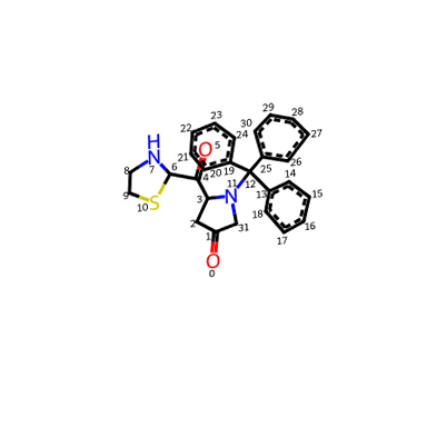 O=C1CC(C(=O)C2NCCS2)N(C(c2ccccc2)(c2ccccc2)c2ccccc2)C1